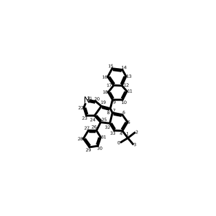 CC(C)(C)c1ccc2c(-c3ccc4ccccc4c3)c3cnccc3c(-c3ccccc3)c2c1